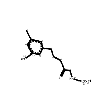 Cc1cc(CCCC(=O)CNC(=O)O)cc(C(C)C)c1